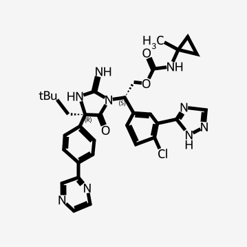 CC(C)(C)C[C@]1(c2ccc(-c3cnccn3)cc2)NC(=N)N([C@H](COC(=O)NC2(C)CC2)c2ccc(Cl)c(-c3ncn[nH]3)c2)C1=O